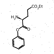 CCOC(=O)CC[C@H](N)C(=O)Oc1ccccc1